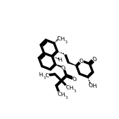 CCC(C)(CC)C(=O)O[C@H]1CCC=C2C=C[C@H](C)[C@H](CC[C@@H]3C[C@@H](O)CC(=O)O3)[C@H]21